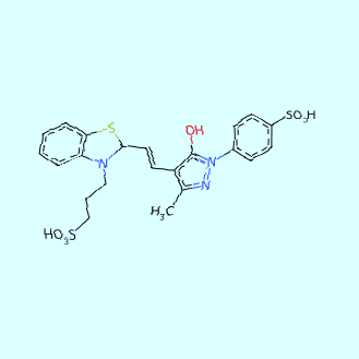 Cc1nn(-c2ccc(S(=O)(=O)O)cc2)c(O)c1C=CC1Sc2ccccc2N1CCCS(=O)(=O)O